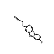 N#CCCc1ccc2c(c1)oc1cc(F)ccc12